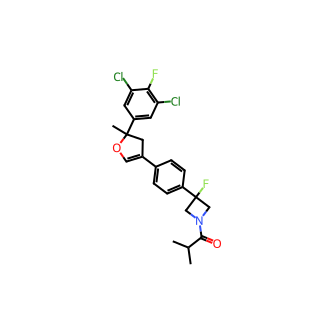 CC(C)C(=O)N1CC(F)(c2ccc(C3=COC(C)(c4cc(Cl)c(F)c(Cl)c4)C3)cc2)C1